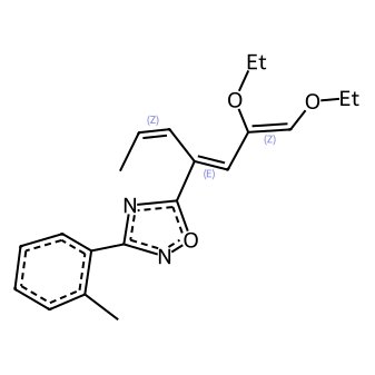 C\C=C/C(=C\C(=C\OCC)OCC)c1nc(-c2ccccc2C)no1